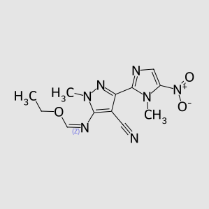 CCO/C=N\c1c(C#N)c(-c2ncc([N+](=O)[O-])n2C)nn1C